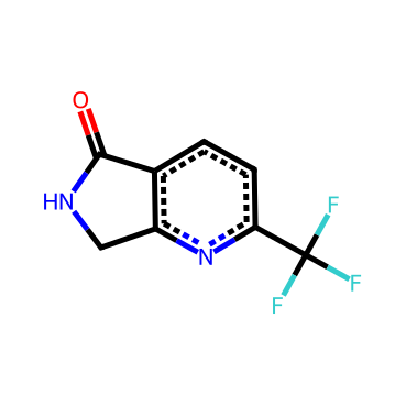 O=C1NCc2nc(C(F)(F)F)ccc21